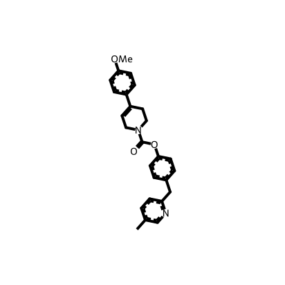 COc1ccc(C2=CCN(C(=O)Oc3ccc(Cc4ccc(C)cn4)cc3)CC2)cc1